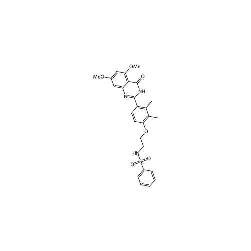 COc1cc(OC)c2c(=O)[nH]c(-c3ccc(OCCNS(=O)(=O)c4ccccc4)c(C)c3C)nc2c1